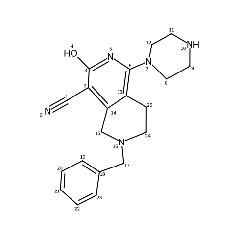 N#Cc1c(O)nc(N2CCNCC2)c2c1CN(Cc1ccccc1)CC2